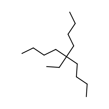 CCCCC(CC)(CCCC)CCCC